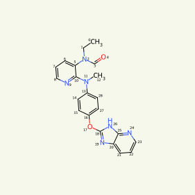 CCN(C=O)c1cccnc1N(C)c1ccc(Oc2nc3cccnc3[nH]2)cc1